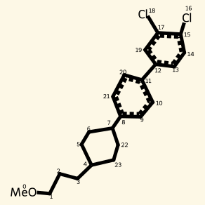 COCCCC1CCC(c2ccc(-c3ccc(Cl)c(Cl)c3)cc2)CC1